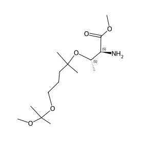 COC(=O)[C@@H](N)[C@H](C)OC(C)(C)CCCOC(C)(C)OC